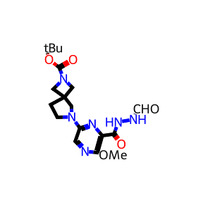 COc1ncc(N2CCC3(CN(C(=O)OC(C)(C)C)C3)C2)nc1C(=O)NNC=O